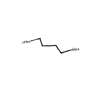 [CH2]CCCCCCCCCC[CH]CCCC